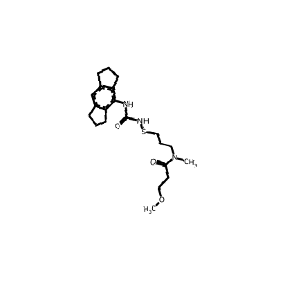 COCCC(=O)N(C)CCCSNC(=O)Nc1c2c(cc3c1CCC3)CCC2